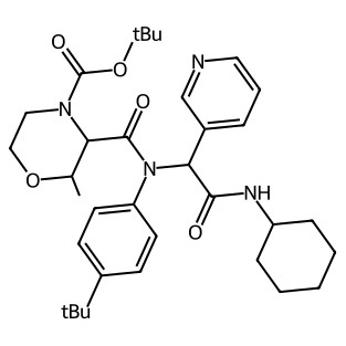 CC1OCCN(C(=O)OC(C)(C)C)C1C(=O)N(c1ccc(C(C)(C)C)cc1)C(C(=O)NC1CCCCC1)c1cccnc1